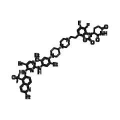 CCOc1cc(N2CCC(N3CCN(CCc4cc(F)c(F)c5c4oc(=O)n5C4CCC(=O)NC4=O)CC3)CC2)c(CC)cc1Nc1ncc(Br)c(Nc2ccc3nc(CC)ccc3c2P(C)(C)=O)n1